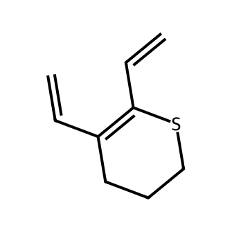 C=CC1=C(C=C)SCCC1